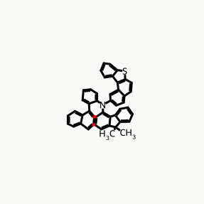 CC1(C)c2ccccc2-c2c(N(c3ccc4ccc5sc6ccccc6c5c4c3)c3ccccc3-c3cccc4ccccc34)cccc21